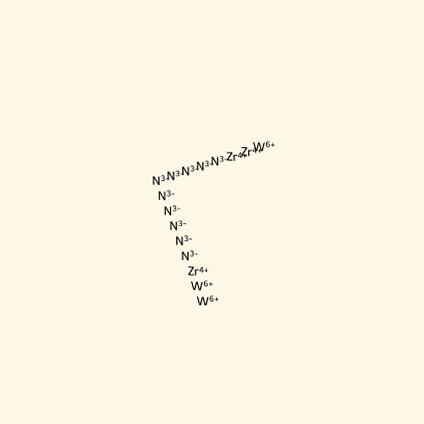 [N-3].[N-3].[N-3].[N-3].[N-3].[N-3].[N-3].[N-3].[N-3].[N-3].[W+6].[W+6].[W+6].[Zr+4].[Zr+4].[Zr+4]